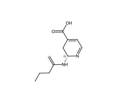 C=C(CCC)N[C@@H]1CC(C(=O)O)=CC=N1